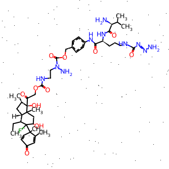 CCC1[C@@H]2C[C@@H](C)[C@](O)(C(=O)COC(=O)NCCN(N)C(=O)OCc3ccc(NC(=O)[C@H](CCCNC(=O)N=NN)NC(=O)[C@@H](N)C(C)C)cc3)C2(C)C[C@H](O)C1(F)C1(C)C=CC(=O)C=C1C